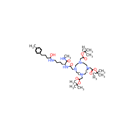 CNC(=O)[C@H](CCCCNC(O)CCCc1ccc(C)cc1)NC(=O)CN1CCN(CC(=O)OC(C)(C)C)CCN(CC(=O)OC(C)(C)C)CCN(CC(=O)OC(C)(C)C)CC1